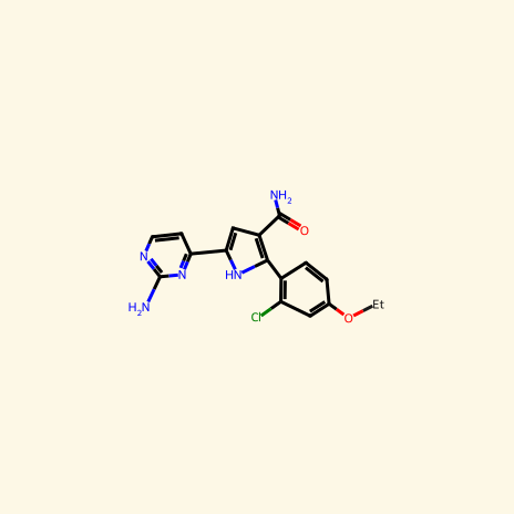 CCOc1ccc(-c2[nH]c(-c3ccnc(N)n3)cc2C(N)=O)c(Cl)c1